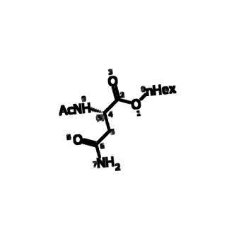 CCCCCCOC(=O)[C@H](CC(N)=O)NC(C)=O